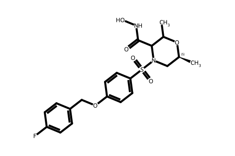 CC1O[C@@H](C)CN(S(=O)(=O)c2ccc(OCc3ccc(F)cc3)cc2)C1C(=O)NO